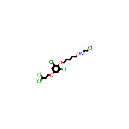 ClC/C=N/OCCCCCOc1c(Cl)cc(OCC=C(Cl)Cl)cc1Cl